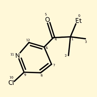 CCC(C)(C)C(=O)c1ccc(Cl)nc1